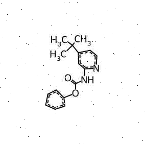 CC(C)(C)c1ccnc(NC(=O)Oc2ccccc2)c1